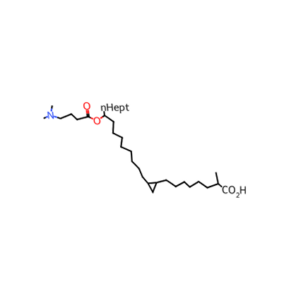 CCCCCCCC(CCCCCCCCC1CC1CCCCCCC(C)C(=O)O)OC(=O)CCCN(C)C